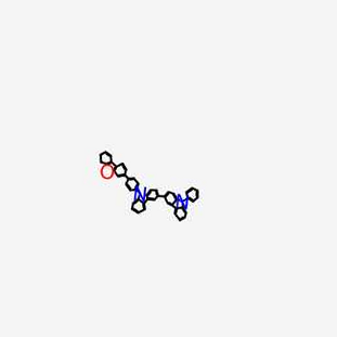 C1=Cc2c(oc3cc(-c4ccc(-n5c6ccccc6c6cc(-c7ccc8c(c7)c7ccccc7n8-c7ccccc7)ccc65)cc4)ccc23)CC1